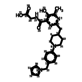 Cc1nc(CC2CCN(c3ccc(Cn4cccc4)cc3)CC2)nc(C(=O)NCC(=O)O)c1O